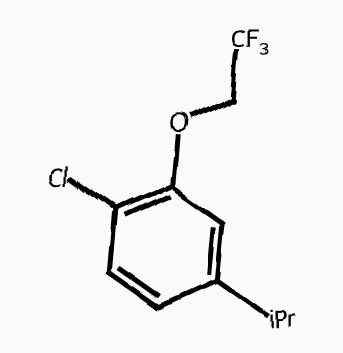 CC(C)c1ccc(Cl)c(OCC(F)(F)F)c1